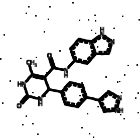 CC1=C(C(=O)Nc2ccc3[nH]ncc3c2)C(c2ccc(-c3cn[nH]c3)cc2)NC(=O)N1